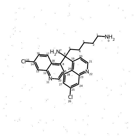 NCCCCCC(N)(c1ccnc2cc(Cl)ccc12)c1ccnc2cc(Cl)ccc12